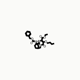 CCCCOc1c(C(=O)OCC)nc2n(c1=O)CC1CCC2(NC(=O)OCc2ccccc2)CC1